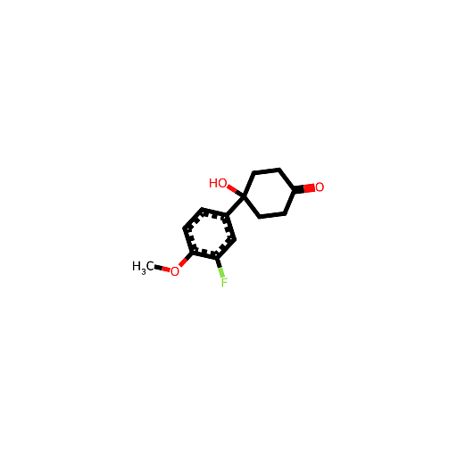 COc1ccc(C2(O)CCC(=O)CC2)cc1F